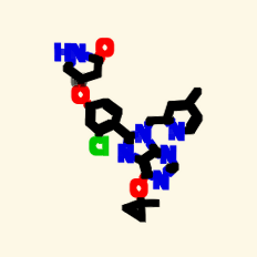 Cc1ccnc(Cn2c(-c3ccc(O[C@H]4CNC(=O)C4)cc3Cl)nc3c(OC4(C)CC4)ncnc32)c1